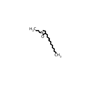 CCCCCCCCC=CCCC1CCN(CCCC)C1=O